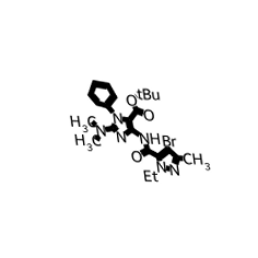 CCn1nc(C)c(Br)c1C(=O)Nc1nc(N(C)C)n(-c2ccccc2)c1C(=O)OC(C)(C)C